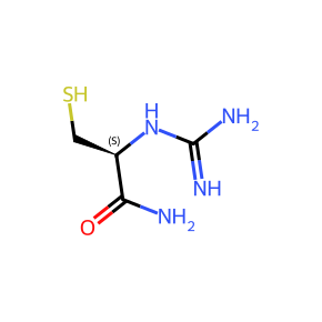 N=C(N)N[C@H](CS)C(N)=O